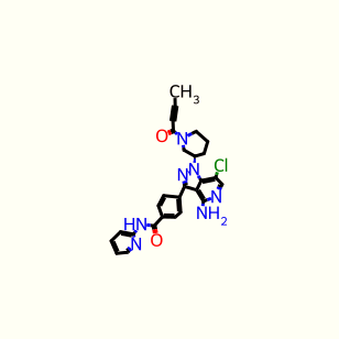 CC#CC(=O)N1CCC[C@@H](n2nc(-c3ccc(C(=O)Nc4ccccn4)cc3)c3c(N)ncc(Cl)c32)C1